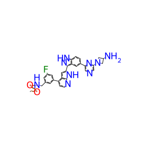 CS(=O)(=O)NCc1cc(F)cc(-c2ccnc3[nH]c(-c4n[nH]c5ccc(-c6cncc(N7CC(N)C7)n6)cc45)cc23)c1